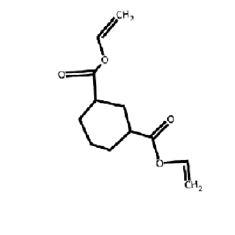 C=COC(=O)C1CCCC(C(=O)OC=C)C1